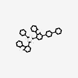 c1ccc(-c2ccc(-c3ccc(-c4nc(-c5ccccc5)nc(-c5cccc6oc7ccccc7c56)n4)c4c3oc3ccccc34)cc2)cc1